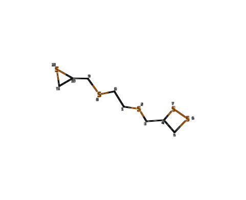 C(CSCC1CSS1)SCC1CS1